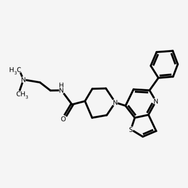 CN(C)CCNC(=O)C1CCN(c2cc(-c3ccccc3)nc3ccsc23)CC1